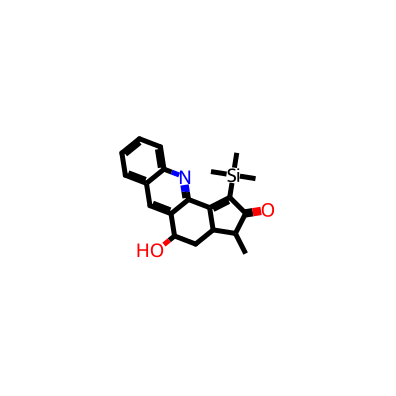 CC1C(=O)C([Si](C)(C)C)=C2c3nc4ccccc4cc3C(O)CC21